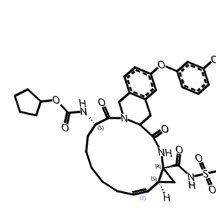 CS(=O)(=O)NC(=O)[C@@]12C[C@H]1/C=C\CCCCC[C@H](NC(=O)OC1CCCC1)C(=O)N1Cc3ccc(Oc4cccc(Cl)c4)cc3CC1C(=O)N2